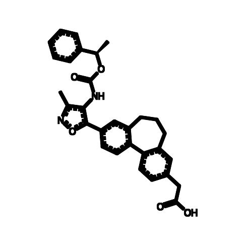 Cc1noc(-c2ccc3c(c2)CCCc2cc(CC(=O)O)ccc2-3)c1NC(=O)O[C@H](C)c1ccccc1